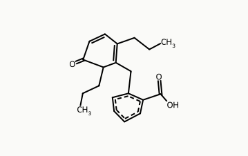 CCCC1=C(Cc2ccccc2C(=O)O)C(CCC)C(=O)C=C1